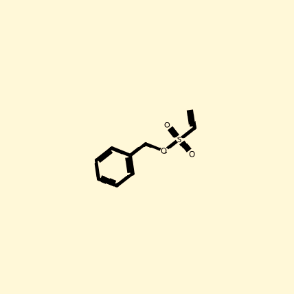 C=CS(=O)(=O)OCc1ccccc1